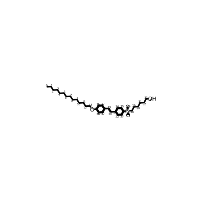 CCCCCCCCCCCCCCOc1ccc(C=Cc2ccc(S(=O)(=O)CCCCCCO)cc2)cc1